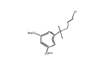 COc1cc(OC)cc(C(C)(C)CCCC(C)C)c1